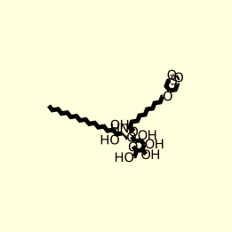 CCCCCCCCCCCCCC[C@@H](O)[C@@H](O)[C@H](COC1OC(CO)C(O)C(O)C1O)NC(=O)CCCCCCCCCOC1CCS(=O)(=O)CC1